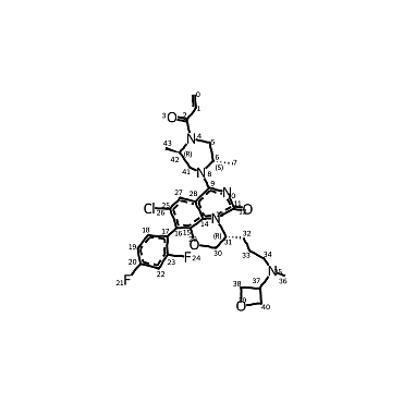 C=CC(=O)N1C[C@H](C)N(c2nc(=O)n3c4c(c(-c5ccc(F)cc5F)c(Cl)cc24)OC[C@H]3CCCN(C)C2COC2)C[C@H]1C